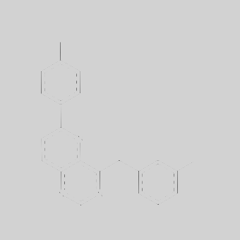 Fc1ccc(-c2ccc3ncnc(Cc4cccc(F)c4)c3n2)cc1